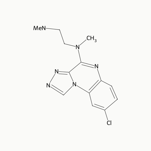 CNCCN(C)c1nc2ccc(Cl)cc2n2cnnc12